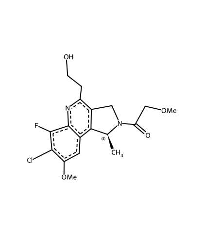 COCC(=O)N1Cc2c(CCO)nc3c(F)c(Cl)c(OC)cc3c2[C@@H]1C